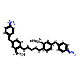 CCCCCCCc1cc(Cc2ccc(N)cc2)ccc1CCCCCc1ccc(Cc2ccc(N)cc2)cc1CCCCCCC